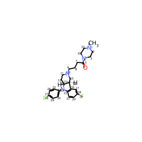 CN1CCN(C(=O)CCCN2CC[C@@H]3[C@@H](C2)c2cc(F)ccc2N3c2ccc(F)cc2)CC1